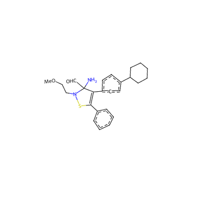 COCCN1SC(c2ccccc2)=C(c2ccc(C3CCCCC3)cc2)C1(N)C=O